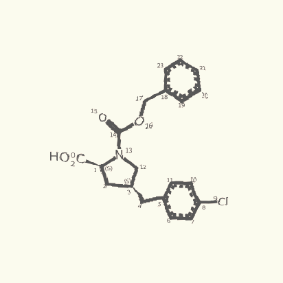 O=C(O)[C@@H]1C[C@H](Cc2ccc(Cl)cc2)CN1C(=O)OCc1ccccc1